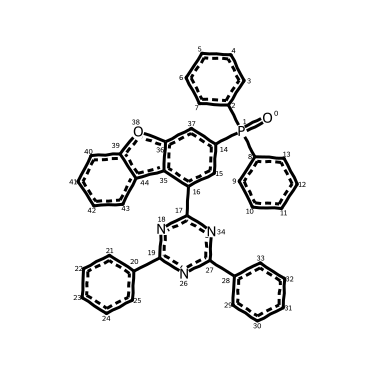 O=P(c1ccccc1)(c1ccccc1)c1cc(-c2nc(-c3ccccc3)nc(-c3ccccc3)n2)c2c(c1)oc1ccccc12